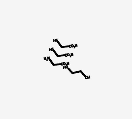 NCC(=O)O.O=C(O)CS.O=C(O)CS.OCCO